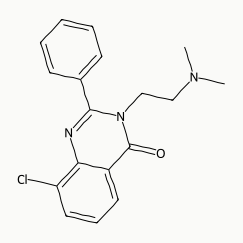 CN(C)CCn1c(-c2ccccc2)nc2c(Cl)cccc2c1=O